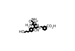 Cn1c(C(N)=O)c(N)c2c(-c3ccc(CCCO)cc3)c(C#N)c(SCc3cccc(C(=O)O)c3)nc21